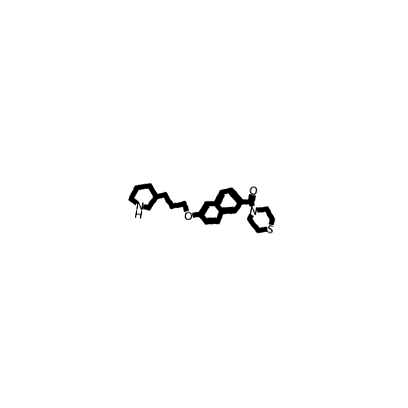 O=C(c1ccc2cc(OCCCC3CCCNC3)ccc2c1)N1CCSCC1